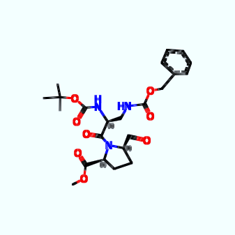 COC(=O)[C@@H]1CC[C@H](C=O)N1C(=O)[C@H](CNC(=O)OCc1ccccc1)NC(=O)OC(C)(C)C